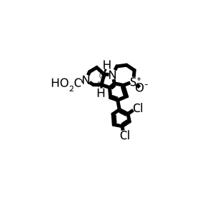 O=C(O)N1CC[C@H]2[C@@H](C1)c1cc(-c3ccc(Cl)cc3Cl)cc3c1N2CCC[S+]3[O-]